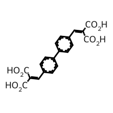 O=C(O)C(=Cc1ccc(-c2ccc(C=C(C(=O)O)C(=O)O)cc2)cc1)C(=O)O